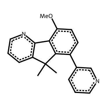 COc1ccc(-c2cccnc2)c2c1-c1ncccc1C2(C)C